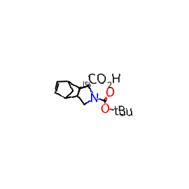 CC(C)(C)OC(=O)N1CC2C3C=CC(C3)C2[C@H]1C(=O)O